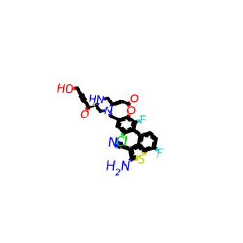 N#Cc1c(N)sc2c(F)ccc(-c3c(Cl)cc4c(c3F)OC(=O)C=C3CN[C@H](C(=O)C#CCO)CN3C4)c12